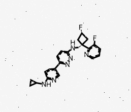 Fc1cccnc1[C@]1(CNc2ccc(-c3ccc(NC4CC4)nc3)nn2)C[C@@H](F)C1